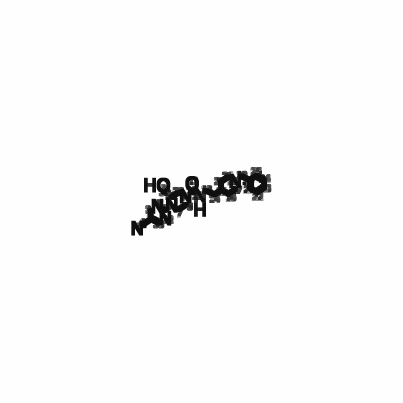 N#Cc1cnc(N2CCN(C(=O)NCCC3CCN(Cc4ccccc4)CC3)C[C@H]2CO)nc1